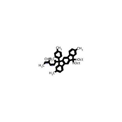 C=C(/C=C\C(C=O)=C/C)C1(c2ccc(C)cc2)c2cc(C)ccc2-c2cc3c(cc21)-c1ccc(C)cc1C3(CCCCCCCC)CCCCCCCC